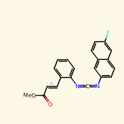 COC(=O)/C=C/c1ccccc1N=C=Nc1ccc2cc(F)ccc2c1